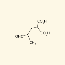 CC(C=O)CC(C(=O)O)C(=O)O